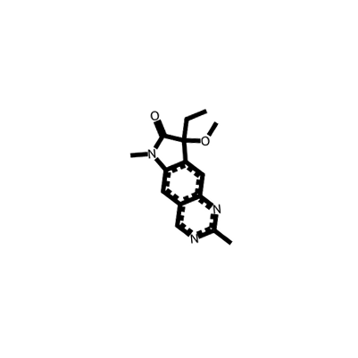 CCC1(OC)C(=O)N(C)c2cc3cnc(C)nc3cc21